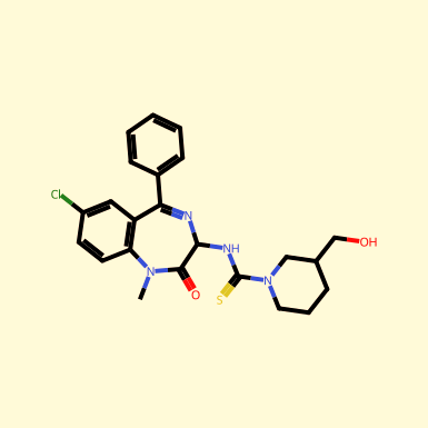 CN1C(=O)C(NC(=S)N2CCCC(CO)C2)N=C(c2ccccc2)c2cc(Cl)ccc21